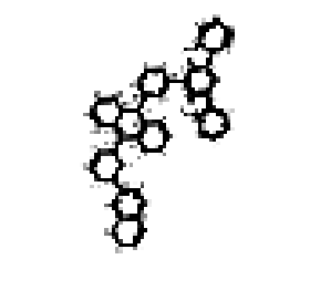 C1#CC2c3cc4c(oc5ccccc54)c(-c4cccc(C5C6=C(CCC=C6)C(C6C=CCC(c7ccc8c(c7)CCC=C8)C6)=C6C=CC=CC65)c4)c3OC2C=C1